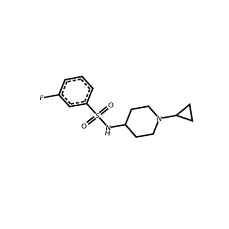 O=S(=O)(NC1CCN(C2CC2)CC1)c1cccc(F)c1